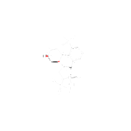 CS(=O)(=O)c1cccc(C(=O)N(C=NN)CC(P(=O)(O)O)P(=O)(O)O)c1C1CCNCC1